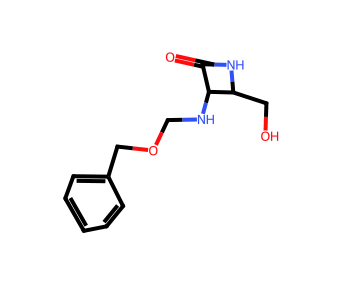 O=C1NC(CO)C1NCOCc1ccccc1